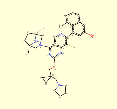 CCc1cccc2cc(O)cc(-c3ncc4c(N5C[C@H]6CC[C@@H](C5)N6)nc(OCC5(CN6CCCC6)CC5)nc4c3F)c12